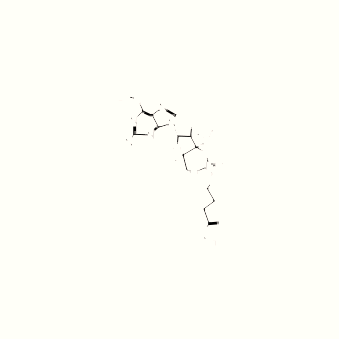 CCOc1nc(N)nc2c1ncn2[C@@H]1O[C@@H]2CO[P@](=O)(OCCCC(=O)OC(C)C)O[C@H]2[C@@]1(C)OC(C)=O